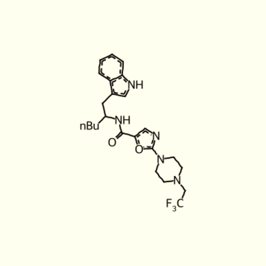 CCCCC(Cc1c[nH]c2ccccc12)NC(=O)c1cnc(N2CCN(CC(F)(F)F)CC2)o1